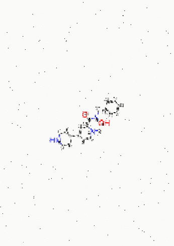 CN1C=CC(C2=CCNCC2)=CC1C(=O)N(O)Cc1ccccc1